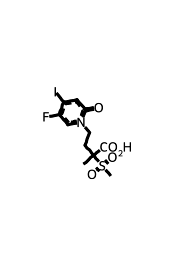 CC(CCn1cc(F)c(I)cc1=O)(C(=O)O)S(C)(=O)=O